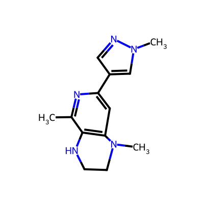 Cc1nc(-c2cnn(C)c2)cc2c1NCCN2C